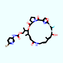 CC1=C\C(O)CC(F)Cc2nc(co2)C(=O)N2CCCC2C(=O)OC(C(C)COC(=O)Nc2ccc(Br)nc2)C(C)/C=C/C(=O)NC\C=C\1